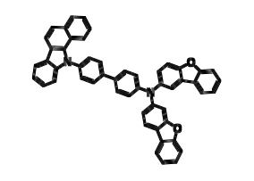 c1ccc2c(c1)ccc1c3ccccc3n(-c3ccc(-c4ccc(N(c5ccc6c(c5)oc5ccccc56)c5ccc6oc7ccccc7c6c5)cc4)cc3)c21